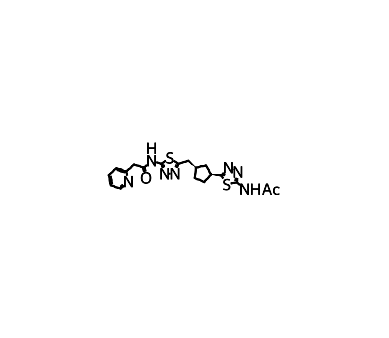 CC(=O)Nc1nnc([C@H]2CC[C@@H](Cc3nnc(NC(=O)Cc4ccccn4)s3)C2)s1